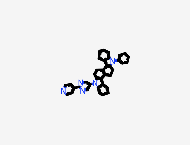 c1ccc(-n2c3ccccc3c3c4ccc5c(c4ccc32)c2ccccc2n5-c2cnc(-c3ccncc3)nc2)cc1